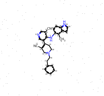 Cc1c(Nc2c(C#N)cncc2C2=C(C#N)CN(CCc3ccccc3)CC2)ccc2[nH]ccc12